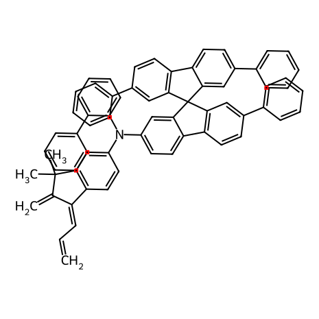 C=C/C=C1\C(=C)C(C)(C)c2cc(N(c3ccc4c(c3)C3(c5cc(-c6ccccc6)ccc5-c5ccc(-c6ccccc6)cc53)c3cc(-c5ccccc5)ccc3-4)c3ccccc3-c3ccccc3)ccc21